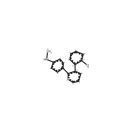 CNc1ccc(-c2ncccc2-c2ccccc2Cl)cc1